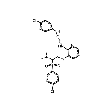 CNC(CNc1cccnc1NCCNc1ccc(Cl)cc1)S(=O)(=O)c1ccc(Cl)cc1